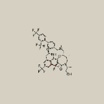 CC(CO)N1C[C@@H](C)[C@@H](CN(C)Cc2ccc(-c3ccc(C(F)(F)F)cc3C(F)(F)F)cc2)Oc2c(NC(=O)Cc3cc(C(F)(F)F)cc(C(F)(F)F)c3)cccc2C1=O